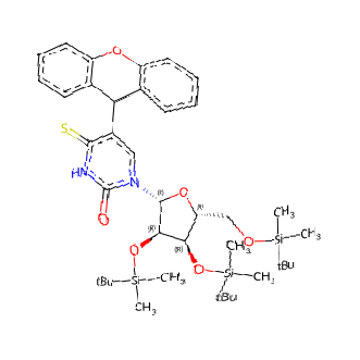 CC(C)(C)[Si](C)(C)OC[C@H]1O[C@@H](n2cc(C3c4ccccc4Oc4ccccc43)c(=S)[nH]c2=O)[C@H](O[Si](C)(C)C(C)(C)C)[C@@H]1O[Si](C)(C)C(C)(C)C